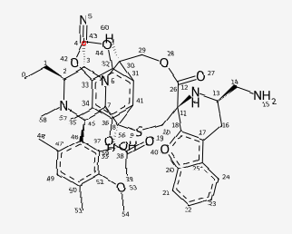 CC[C@H]1[C@H](C#N)N2C([C@@H]3SC[C@]4(N[C@@H](CN)Cc5c4oc4ccccc54)C(=O)OC[C@H]2c2c4c(c(C)c(OC(C)=O)c23)OCO4)[C@@H](c2c(C)cc(C)c(OC)c2O)N1C